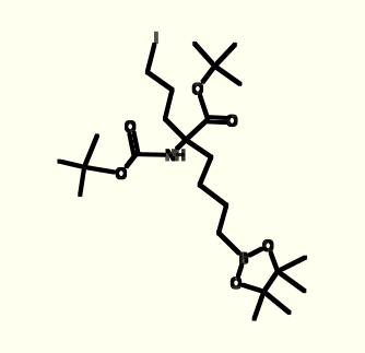 CC(C)(C)OC(=O)NC(CCCI)(CCCCB1OC(C)(C)C(C)(C)O1)C(=O)OC(C)(C)C